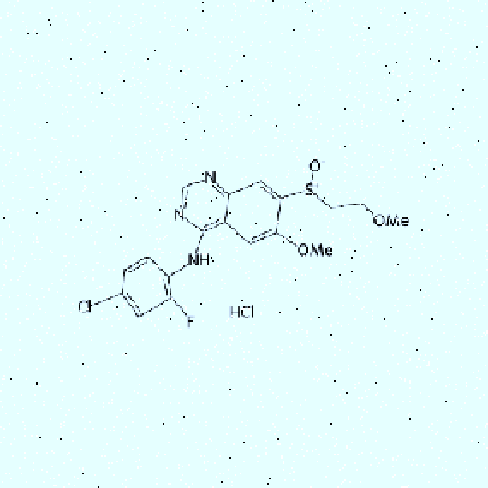 COCC[S+]([O-])c1cc2ncnc(Nc3ccc(Cl)cc3F)c2cc1OC.Cl